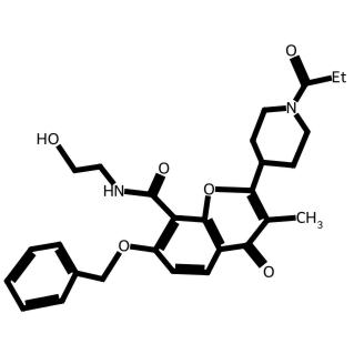 CCC(=O)N1CCC(c2oc3c(C(=O)NCCO)c(OCc4ccccc4)ccc3c(=O)c2C)CC1